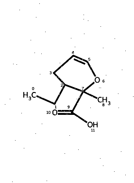 CCC1CC=COC1(C)C(=O)O